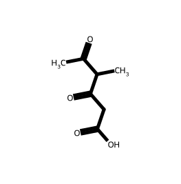 CC(=O)C(C)C(=O)CC(=O)O